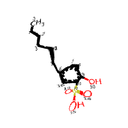 CCCCCCc1ccc(O)c(S(=O)(=O)O)c1